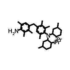 Cc1cc(Cc2cc(C)c(N(C3CC(C)CCC3C(C)C)C3CC(C)CCC3C(C)C)c(C)c2C)c(C)c(C)c1N